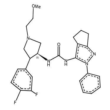 COCCN1CC(c2ccc(F)c(F)c2)[C@H](NC(=O)Nc2c3c(nn2-c2ccccc2)CCC3)C1